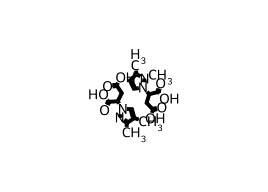 CC1C=CN(C(CC(=O)O)C(=O)O)N1C.Cc1cn(C(CC(=O)O)C(=O)O)nc1C